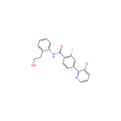 O=C(Nc1ccccc1CCO)c1ccc(-c2ncccc2Cl)cc1F